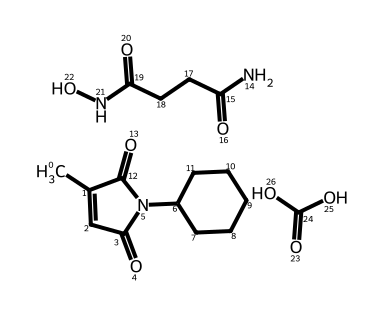 CC1=CC(=O)N(C2CCCCC2)C1=O.NC(=O)CCC(=O)NO.O=C(O)O